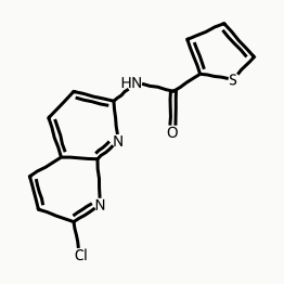 O=C(Nc1ccc2ccc(Cl)nc2n1)c1cccs1